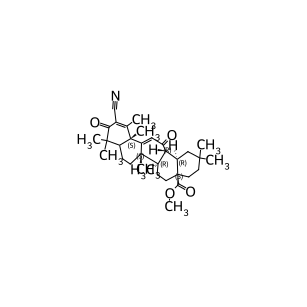 COC(=O)[C@]12CCC(C)(C)C[C@@H]1[C@H]1C(=O)C=C3[C@@]4(C)C(C)=C(C#N)C(=O)C(C)(C)C4CC[C@@]3(C)[C@]1(C)CC2